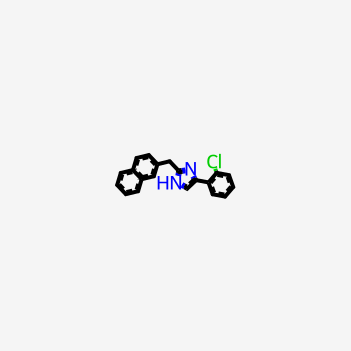 Clc1ccccc1-c1c[nH]c(Cc2ccc3ccccc3c2)n1